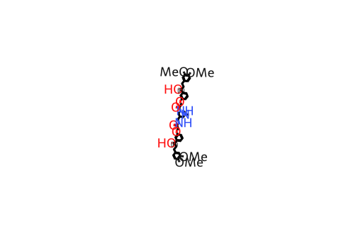 COc1ccc(CC[C@@H](O)c2cccc(OCC(=O)NCC(CNC(=O)COc3cccc([C@H](O)CCc4ccc(OC)c(OC)c4)c3)CN(C)C)c2)cc1OC